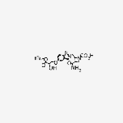 CC(C)(C)OC(=O)C(O)COc1ccc2nn(CC3C(C(N)=O)CN3C(=O)O)cc2c1